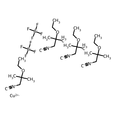 F[B-](F)(F)F.F[B-](F)(F)F.[C-]#[N+]CC(C)(C)OCC.[C-]#[N+]CC(C)(C)OCC.[C-]#[N+]CC(C)(C)OCC.[C-]#[N+]CC(C)(C)OCC.[Cu+2]